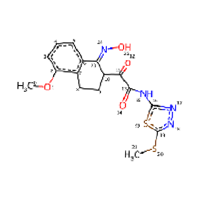 COc1cccc2c1CCC(C(=O)C(=O)Nc1nnc(SC)s1)C2=NO